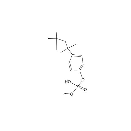 COP(=O)(O)Oc1ccc(C(C)(C)CC(C)(C)C)cc1